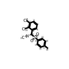 [C-]#[N+]C(c1cccc(Cl)c1Cl)S(=O)(=O)c1ccc(C)cc1